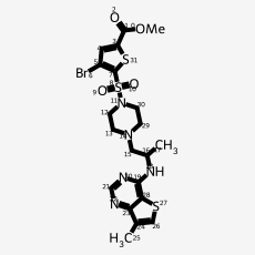 COC(=O)c1cc(Br)c(S(=O)(=O)N2CCN(CC(C)Nc3ncnc4c(C)csc34)CC2)s1